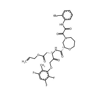 C=CCOC(=O)C[C@H](NC(=O)[C@@H]1CN(C(=O)C(=O)Nc2ccccc2C(C)(C)C)CCCO1)C(=O)COc1c(C)c(F)cc(F)c1F